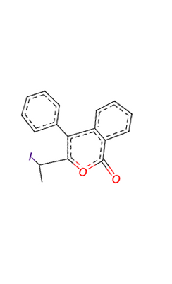 CC(I)c1oc(=O)c2ccccc2c1-c1ccccc1